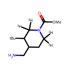 [2H]C1([2H])CC(CN)C(C(C)(C)C)C([2H])([2H])N1C(=O)OC